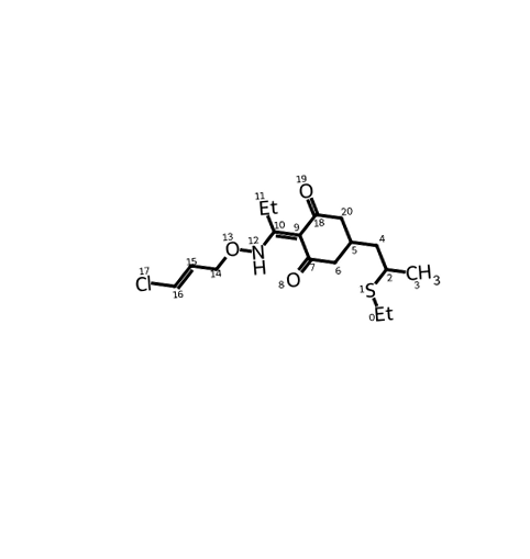 CCSC(C)CC1CC(=O)C(=C(CC)NOC/C=C/Cl)C(=O)C1